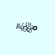 CC(C)SC1OC2COC(c3ccccc3)OC2C(C)C1C